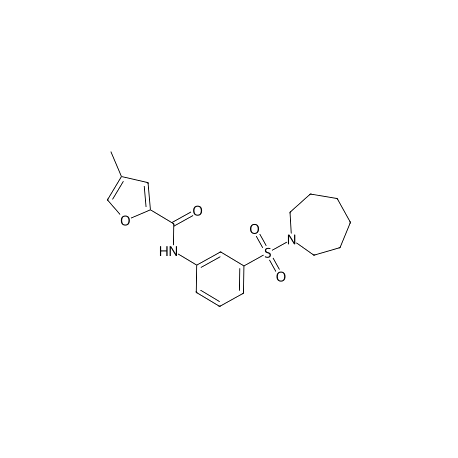 Cc1coc(C(=O)Nc2cccc(S(=O)(=O)N3CCCCCC3)c2)c1